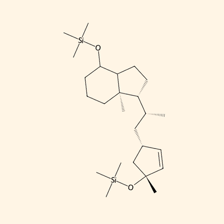 C[C@H](C[C@@H]1C=C[C@](C)(O[Si](C)(C)C)C1)[C@H]1CCC2C(O[Si](C)(C)C)CCC[C@@]21C